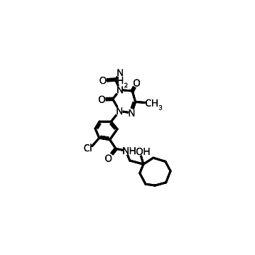 Cc1nn(-c2ccc(Cl)c(C(=O)NCC3(O)CCCCCCC3)c2)c(=O)n(C(N)=O)c1=O